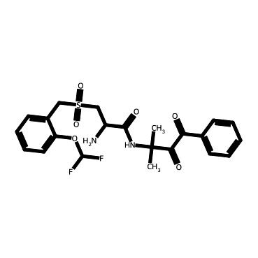 CC(C)(NC(=O)C(N)CS(=O)(=O)Cc1ccccc1OC(F)F)C(=O)C(=O)c1ccccc1